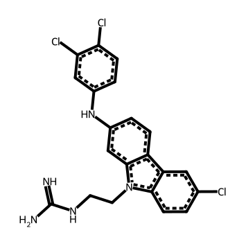 N=C(N)NCCn1c2ccc(Cl)cc2c2ccc(Nc3ccc(Cl)c(Cl)c3)cc21